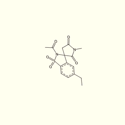 CCc1ccc2c(c1)C1(CC(=O)N(C)C1=O)N(C(C)=O)S2(=O)=O